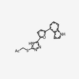 CC(=O)CSc1nnc(-c2ccc(-c3cccc4[nH]ccc34)o2)[nH]1